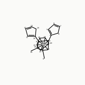 C[C]12[CH]3[C]4(C5=CC=CC5)[C]5(C6=CC=CC6)[C]1(C)[Zr]32451678[CH]2[CH]1[CH]6[CH]7[CH]28